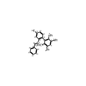 CCCc1c(C(C)C)cc(C(C)C)c(C=O)c1-c1ccc(F)cc1OCc1ccccc1